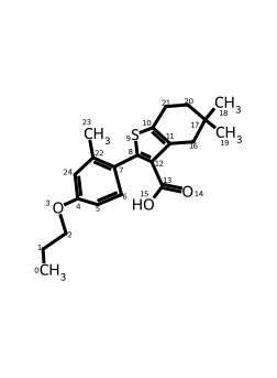 CCCOc1ccc(-c2sc3c(c2C(=O)O)CC(C)(C)CC3)c(C)c1